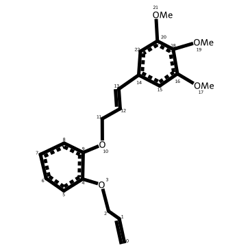 C=CCOc1ccccc1OCC=Cc1cc(OC)c(OC)c(OC)c1